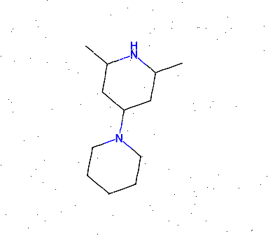 CC1CC(N2CCCCC2)CC(C)N1